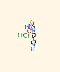 Cl.O=C1CCN(c2ccc(C3CCNCC3)cc2)C(=O)N1